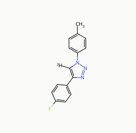 [2H]c1c(-c2ccc(F)cc2)nnn1-c1ccc(C)cc1